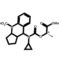 COC(=O)[C@H](C)OC(=O)N(C1CC1)C1c2ccccc2N(C(=O)O)C2CCCC21